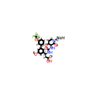 COc1cc(-c2cccc(OC(F)(F)F)c2)cc([C@H](CC(=O)O)NC(=O)NC2C(=O)C=CN(C)C2=O)c1.[NaH]